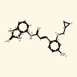 O=C(/C=C/c1ccc(C(F)(F)F)cc1OCC1CC1)Nc1cccc2[nH]c(=O)[nH]c12